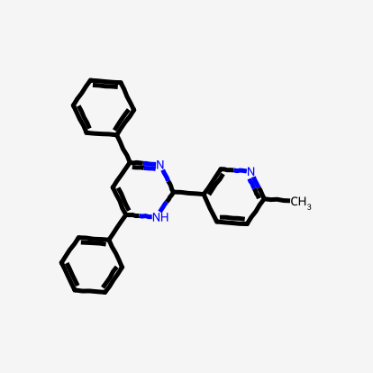 Cc1ccc(C2N=C(c3ccccc3)C=C(c3ccccc3)N2)cn1